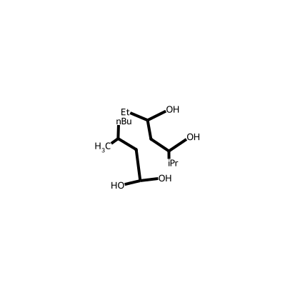 CCC(O)CC(O)C(C)C.CCCCC(C)CC(O)O